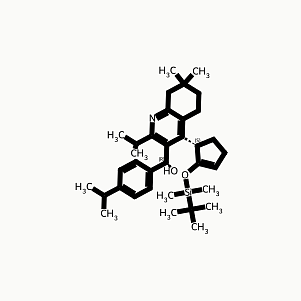 CC(C)c1ccc([C@@H](O)c2c(C(C)C)nc3c(c2[C@@H]2CCC=C2O[Si](C)(C)C(C)(C)C)CCC(C)(C)C3)cc1